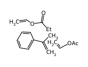 C=C(C)c1ccccc1.C=COC(=O)CC.C=COC(C)=O